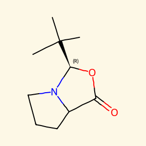 CC(C)(C)[C@H]1OC(=O)C2CCCN21